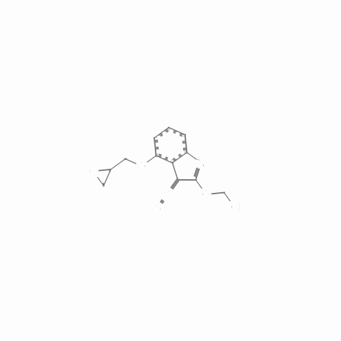 CCOC1=Nc2cccc(OCC3CO3)c2C1=C=O